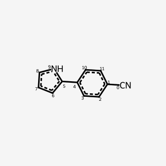 N#Cc1ccc(-c2ccc[nH]2)cc1